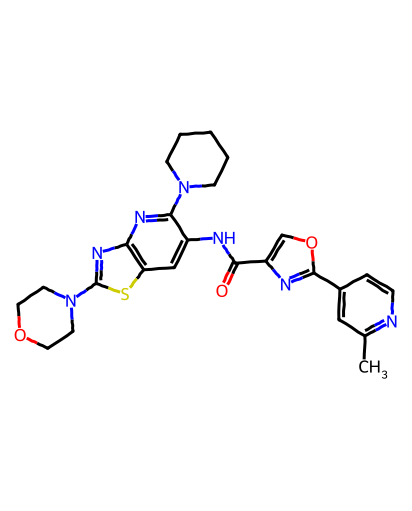 Cc1cc(-c2nc(C(=O)Nc3cc4sc(N5CCOCC5)nc4nc3N3CCCCC3)co2)ccn1